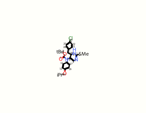 CSC1=NC=C(N(C(=O)OC(C)(C)C)c2ccc(OC(C)C)cc2)C(Cc2ccc(Cl)cc2)N1